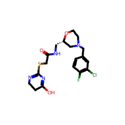 O=C(CSC1=NCCC(O)=N1)NC[C@H]1CN(Cc2ccc(F)c(Cl)c2)CCO1